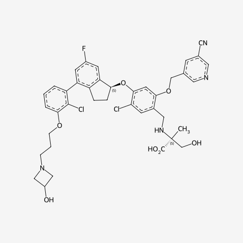 C[C@@](CO)(NCc1cc(Cl)c(O[C@H]2CCc3c(-c4cccc(OCCCN5CC(O)C5)c4Cl)cc(F)cc32)cc1OCc1cncc(C#N)c1)C(=O)O